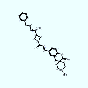 C/C(=N\OCc1ccccc1)C1CN(C(=O)/C=C/c2cnc3c(c2)CC2(CCN(C)CC2)C(=O)N3)C1